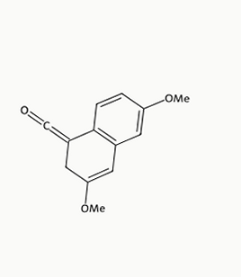 COC1=Cc2cc(OC)ccc2C(=C=O)C1